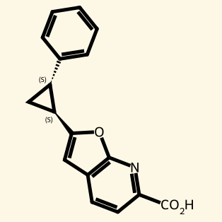 O=C(O)c1ccc2cc([C@H]3C[C@@H]3c3ccccc3)oc2n1